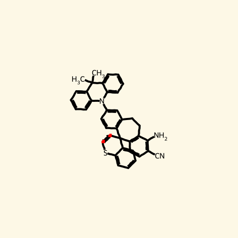 CC1(C)c2ccccc2N(c2ccc3c(c2)CCc2c(ccc(C#N)c2N)C32c3ccccc3Sc3ccccc32)c2ccccc21